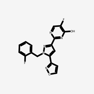 Oc1nc(-c2cc(-c3ccon3)n(Cc3ccccc3F)n2)ncc1F